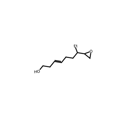 CCC(CC/C=C/CCO)C1CO1